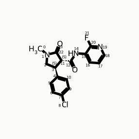 CN1C[C@H](c2ccc(Cl)cc2)[C@@H](C(=O)Nc2cccnc2F)C1=O